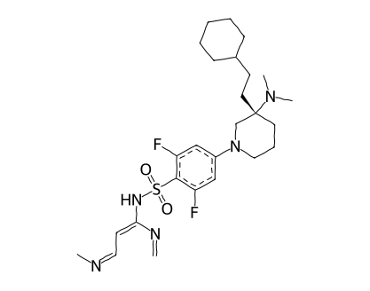 C=N/C(=C\C=N/C)NS(=O)(=O)c1c(F)cc(N2CCC[C@@](CCC3CCCCC3)(N(C)C)C2)cc1F